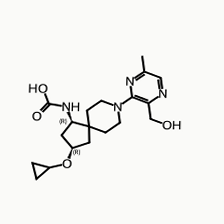 Cc1cnc(CO)c(N2CCC3(CC2)C[C@@H](OC2CC2)C[C@H]3NC(=O)O)n1